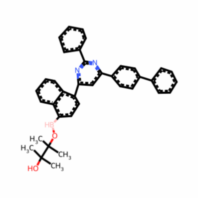 CC(C)(O)C(C)(C)OBc1ccc(-c2cc(-c3ccc(-c4ccccc4)cc3)nc(-c3ccccc3)n2)c2ccccc12